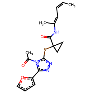 C/C=C\C=C(/C)NC(=O)C1(Sc2nnc(-c3ccco3)n2C(C)=O)CC1